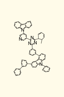 CC1C=CC=CC1c1nc(-c2cccc(-c3cccc4c3c3cc(-c5cccc(-c6ccccc6)c5)ccc3n4-c3ccccc3)c2)nc(-c2cncc(-n3c4ccccc4c4ccccc43)c2)n1